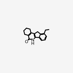 CCc1cccc2c1Cc1c-2[nH]c(=O)c2c1CCCC2